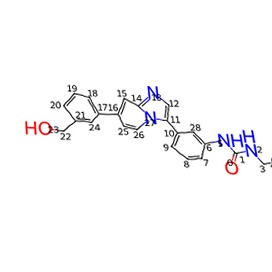 O=C(NCC(F)(F)F)Nc1cccc(-c2cnc3cc(-c4cccc(CO)c4)ccn23)c1